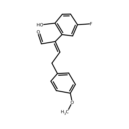 COc1ccc(CC=C(C=O)c2cc(F)ccc2O)cc1